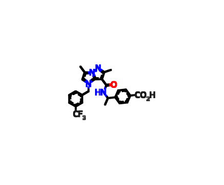 Cc1nn2c(C)cn(Cc3cccc(C(F)(F)F)c3)c2c1C(=O)NC(C)c1ccc(C(=O)O)cc1